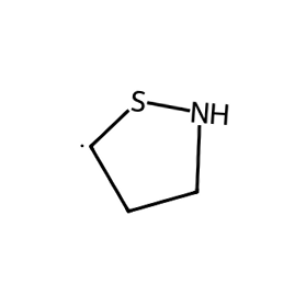 [CH]1CCNS1